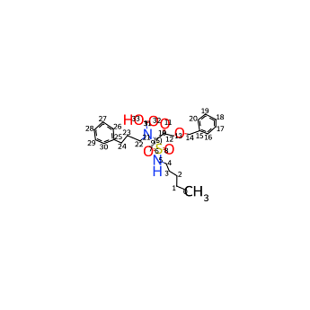 CCCCCNS(=O)(=O)[C@@H](C(=O)COCc1ccccc1)N(CCCc1ccccc1)C(=O)O